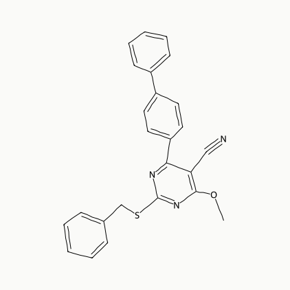 COc1nc(SCc2ccccc2)nc(-c2ccc(-c3ccccc3)cc2)c1C#N